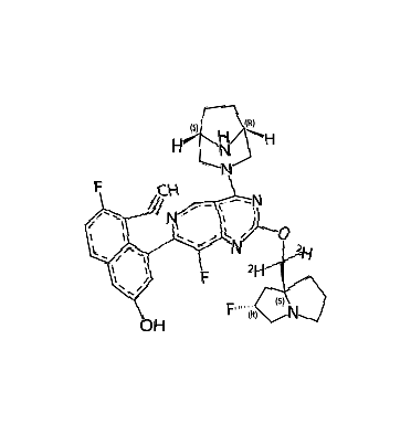 [2H]C([2H])(Oc1nc(N2C[C@H]3CC[C@@H](C2)N3)c2cnc(-c3cc(O)cc4ccc(F)c(C#C)c34)c(F)c2n1)[C@@]12CCCN1C[C@H](F)C2